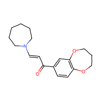 O=C(C=CN1CCCCCC1)c1ccc2c(c1)OCCCO2